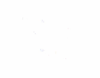 Cc1ncc(C(P(=O)=O)P(=O)=O)c(N)n1